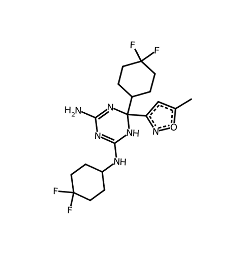 Cc1cc(C2(C3CCC(F)(F)CC3)N=C(N)N=C(NC3CCC(F)(F)CC3)N2)no1